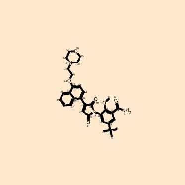 COc1c(C(N)=O)cc(C(C)(C)C)cc1N1C(=O)C=C(c2ccc(OCCN3CCOCC3)c3ccccc23)C1=O